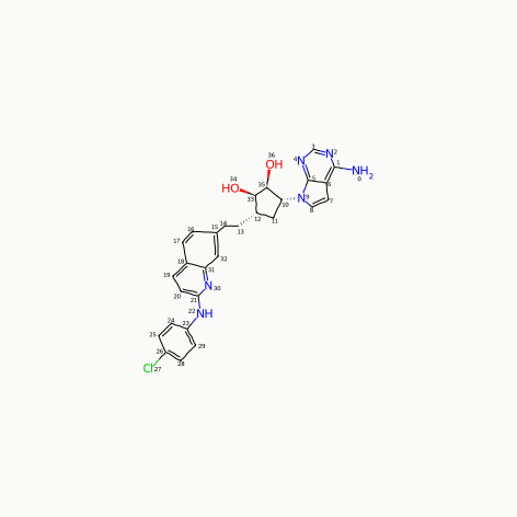 Nc1ncnc2c1ccn2[C@@H]1C[C@H](CCc2ccc3ccc(Nc4ccc(Cl)cc4)nc3c2)[C@@H](O)[C@H]1O